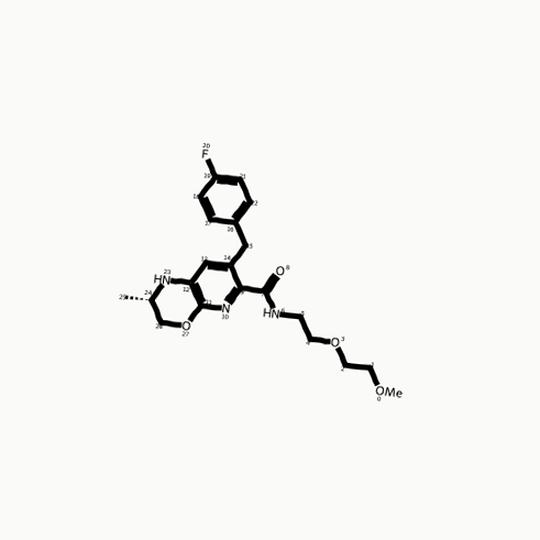 COCCOCCNC(=O)c1nc2c(cc1Cc1ccc(F)cc1)N[C@@H](C)CO2